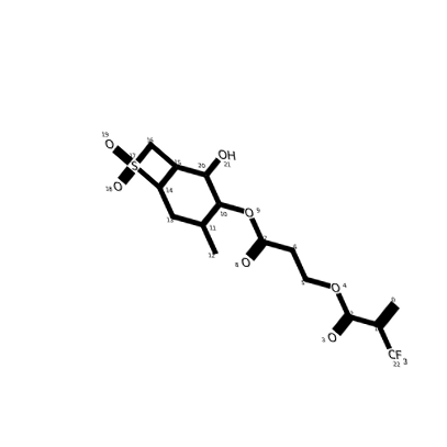 C=C(C(=O)OCCC(=O)OC1C(C)CC2C(CS2(=O)=O)C1O)C(F)(F)F